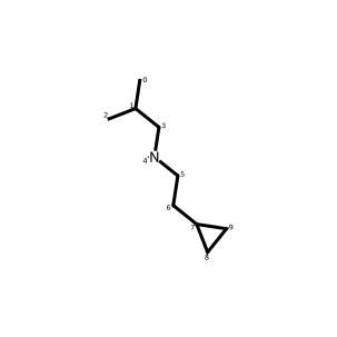 CC(C)C[N]CCC1CC1